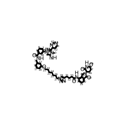 CN(C(=N)CNc1cccc(C(=O)NCc2cccc(OCCCCCCCn3cc(CCCC(=O)Nc4cccc5c4CN(C4CCC(=O)NC4=O)C5=O)nn3)c2)c1)C(=N)c1ccncn1